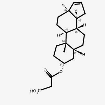 C[C@]12CC[C@@H](OC(=O)CC(=O)O)C[C@H]1CC[C@@H]1[C@@H]2CC[C@@]2(C)C=CC[C@@H]12